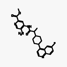 COC(=O)c1cc(NC(=O)C(C)C2CCC(c3ccnc4ccc(F)cc34)CC2)c(N)cn1